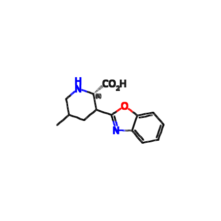 CC1CN[C@H](C(=O)O)C(c2nc3ccccc3o2)C1